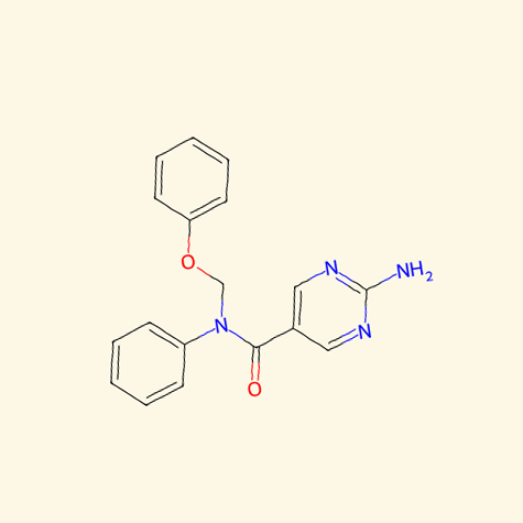 Nc1ncc(C(=O)N(COc2ccccc2)c2ccccc2)cn1